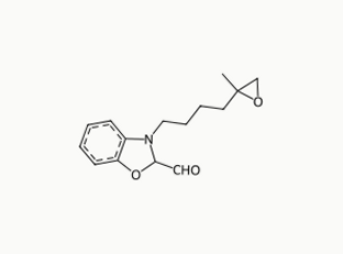 CC1(CCCCN2c3ccccc3OC2C=O)CO1